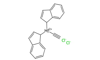 C#[C][Hf+2]([CH]1C=Cc2ccccc21)[CH]1C=Cc2ccccc21.[Cl-].[Cl-]